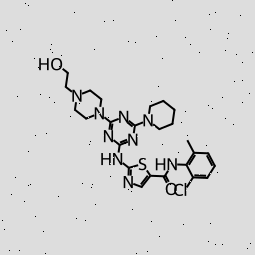 Cc1cccc(Cl)c1NC(=O)c1cnc(Nc2nc(N3CCCCC3)nc(N3CCN(CCO)CC3)n2)s1